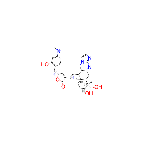 CN(C)c1ccc(/C=C2C=C(/C=C/C3C4Cn5ccnc5N=C4CC4[C@]3(C)CC[C@@H](O)[C@@]4(C)CO)C(=O)O\2)c(O)c1